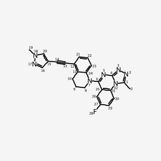 Cc1nnc2nc(N3CCCc4c(C#Cc5cnn(C)c5)cccc43)c3cc(F)ccc3n12